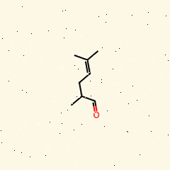 CC(C)=CCC(C)C=O